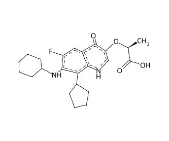 C[C@H](Oc1c[nH]c2c(C3CCCC3)c(NC3CCCCC3)c(F)cc2c1=O)C(=O)O